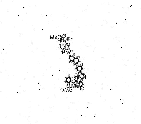 COC(=O)NC(C(=O)N1CCC[C@H]1c1ncc(-c2ccc3cc(-c4ccc(-c5cnc([C@@H]6CC(=O)CN6C(=O)[C@H](NC(=O)OC)c6ccccc6)[nH]5)cc4)ccc3c2)[nH]1)C(C)C